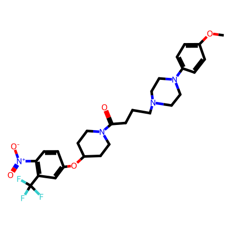 COc1ccc(N2CCN(CCCC(=O)N3CCC(Oc4ccc([N+](=O)[O-])c(C(F)(F)F)c4)CC3)CC2)cc1